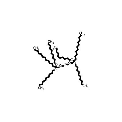 CCCCCCCCCCCCC(COCOCOCC(CCCCCCCCCCCC)(OCCCCCCCCCC)OCCCCCCCCCC)(OCCCCCCCCCC)OCCCCCCCCCC